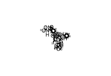 COC(=O)Nc1noc2ccc(S(=O)(=O)N(CC(C)C)C[C@@H](O)[C@H](Cc3ccccc3)NC(=O)OC3CO[C@H]4OCC[C@@H]34)cc12